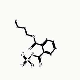 CCCCOC(=O)c1ccccc1C(=O)OS(=O)(=O)Cl